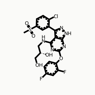 CS(=O)(=O)c1ccc(Cl)c(-c2n[nH]c3nc(Oc4ccc(F)cc4F)nc(NC[C@H](O)CO)c23)c1